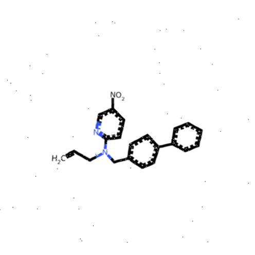 C=CCN(Cc1ccc(-c2ccccc2)cc1)c1ccc([N+](=O)[O-])cn1